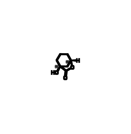 O=C1O[C@H]2CCC[C@]1(O)C2